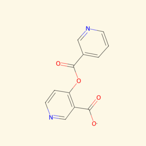 [O]C(=O)c1cnccc1OC(=O)c1cccnc1